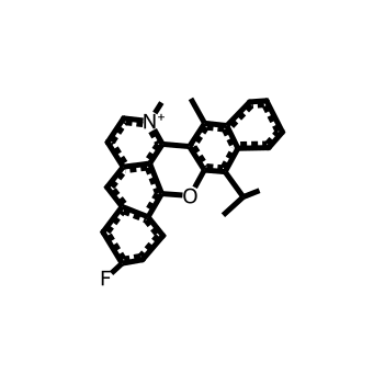 Cc1c2c(c(C(C)C)c3ccccc13)Oc1c3ccc(F)cc3cc3cc[n+](C)c-2c13